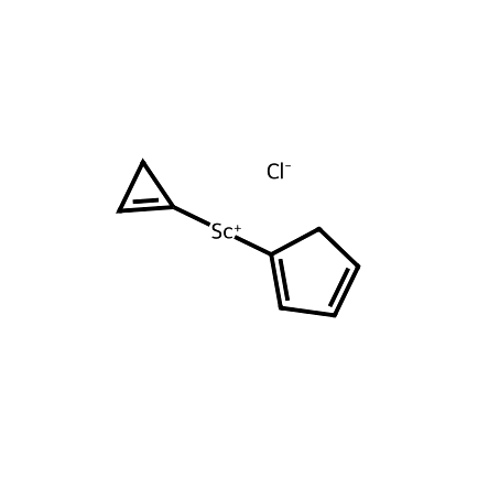 C1=CC[C]([Sc+][C]2=CC2)=C1.[Cl-]